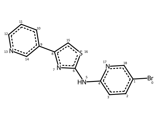 Brc1ccc(Nc2nc(-c3cccnc3)cs2)nc1